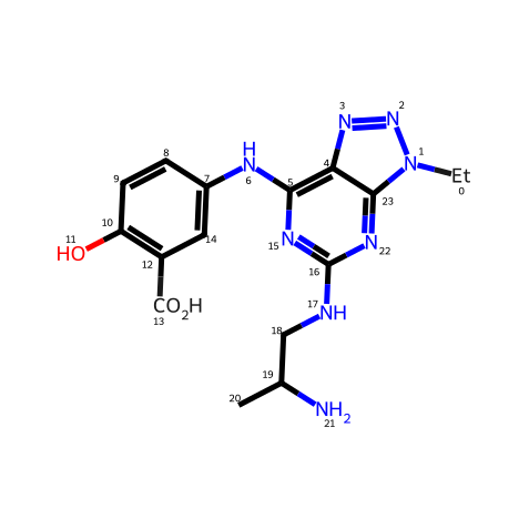 CCn1nnc2c(Nc3ccc(O)c(C(=O)O)c3)nc(NCC(C)N)nc21